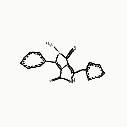 CN1C(=S)C2=C(c3ccccc3)NC(=S)C2=C1c1ccccc1